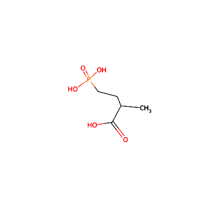 CC(CCP(=O)(O)O)C(=O)O